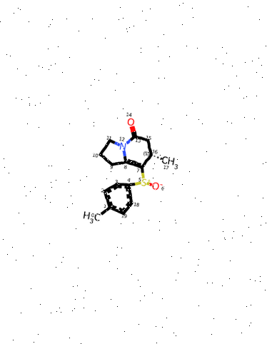 Cc1ccc([S+]([O-])C2=C3CCCN3C(=O)C[C@@H]2C)cc1